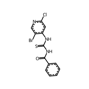 O=C(NC(=S)Nc1cc(Cl)ncc1Br)c1ccccc1